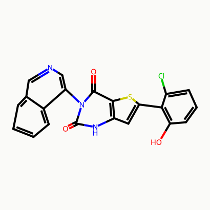 O=c1[nH]c2cc(-c3c(O)cccc3Cl)sc2c(=O)n1-c1cncc2ccccc12